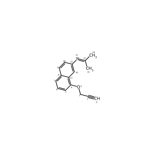 C#CCOc1cccc2ccc(N=C(C)C)cc12